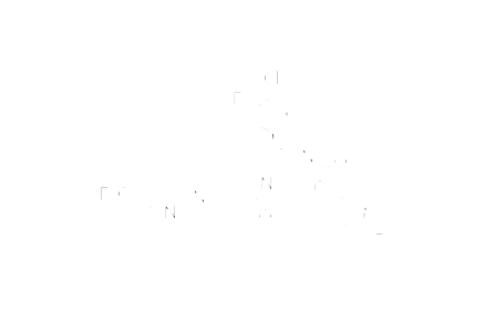 CN(C(=O)Oc1ccc(F)cc1)[C@@H]1CN(C(=O)C2CCN(c3ccc(C(F)(F)F)cn3)CC2)C[C@H]1c1ccc(Cl)c(F)c1